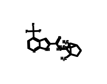 CC1(C)C2CCC1(C)C(NC(=O)c1cc3c(C(F)(F)F)ccnc3[nH]1)C2